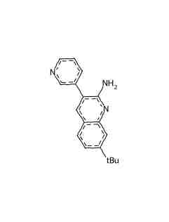 CC(C)(C)c1ccc2cc(-c3cccnc3)c(N)nc2c1